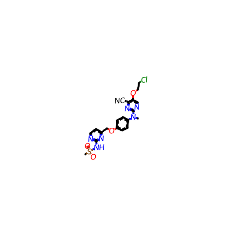 CN(c1ccc(OCc2ccnc(NS(C)(=O)=O)n2)cc1)c1ncc(OCCCl)c(C#N)n1